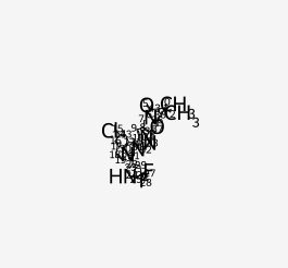 CC1(C)C2C(=O)N(Cc3cc4c(-c5cc(Cl)cc6ccn(CC7CNCC(F)(F)C7)c56)ncnn4c3)C(=O)C21